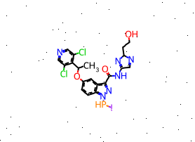 CC(Oc1ccc2c(c1)c(C(=O)NC1=NC(CCO)N=C1)nn2PI)c1c(Cl)cncc1Cl